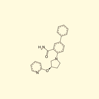 NC(=O)c1cc(-c2ccccc2)ccc1N1CC[C@@H](Oc2ccccn2)C1